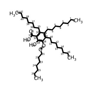 CCCCCCCCc1c(CCCCCCCC)c(OOCCCCCCC)c(O)c(C(=O)O)c1CCCCCCCC